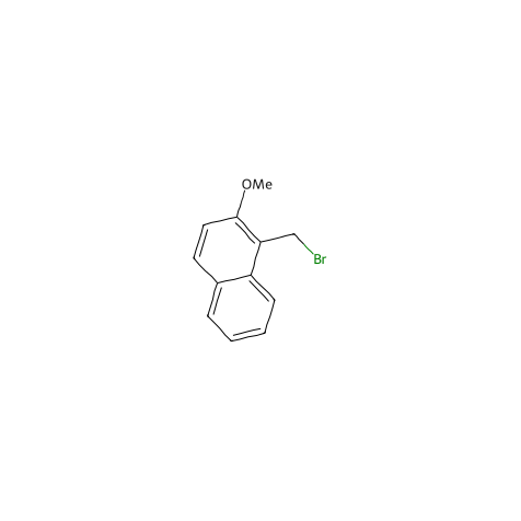 COc1ccc2ccccc2c1CBr